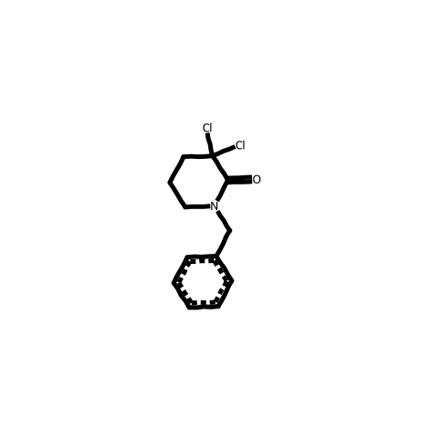 O=C1N(Cc2ccccc2)CCCC1(Cl)Cl